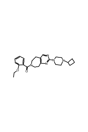 CCOc1ccccc1C(=O)N1CCc2cnc(N3CCN(C4CCC4)CC3)nc2CC1